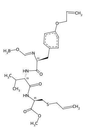 BOC=N[C@@H](Cc1ccc(OCC=C)cc1)C(=O)N[C@H](C(=O)N[C@@H](CSCC=C)C(=O)OC)C(C)C